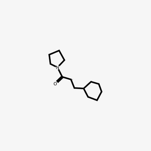 O=C([CH]CC1CCCCC1)N1CCCC1